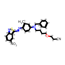 Cc1cc(N(CCCCOCCC#N)Cc2ccccc2)ccc1N=Nc1snc2ccc([N+](=O)[O-])cc12